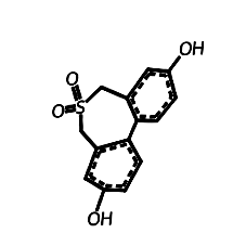 O=S1(=O)Cc2cc(O)ccc2-c2ccc(O)cc2C1